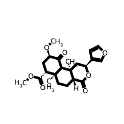 COC(=O)[C@@H]1C[C@@H](OC)C(=O)C2[C@@]1(C)CC[C@H]1C(=O)O[C@H](c3ccoc3)C[C@]21C